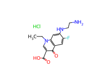 CCn1cc(C(=O)O)c(=O)c2cc(F)c(NCCN)cc21.Cl